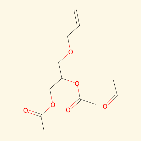 C=CCOCC(COC(C)=O)OC(C)=O.CC=O